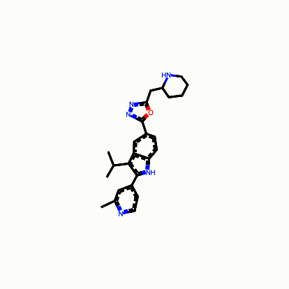 Cc1cc(-c2[nH]c3ccc(-c4nnc(CC5CCCCN5)o4)cc3c2C(C)C)ccn1